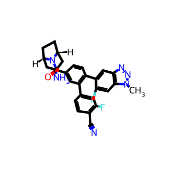 Cn1nnc2cc(-c3ccc(C(=O)N4[C@@H]5CC[C@H]4C[C@H](N)C5)cc3-c3ccc(C#N)c(F)c3)c(F)cc21